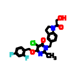 Cc1nc(OCc2ccc(F)cc2F)c(Cl)c(=O)n1Cc1ccc2c(c1)CCN2C(=O)CO